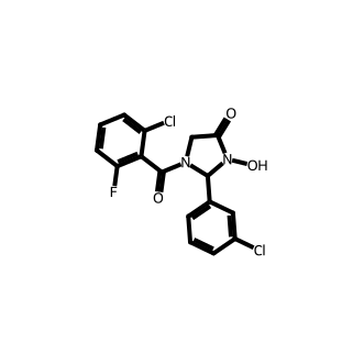 O=C1CN(C(=O)c2c(F)cccc2Cl)C(c2cccc(Cl)c2)N1O